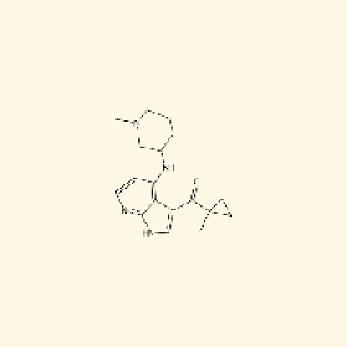 CN1CCCC(Nc2ccnc3[nH]cc(C(=O)C4(C)CC4)c23)C1